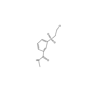 CNC(=O)c1cccc(S(=O)(=O)CCCl)c1